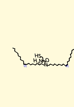 CCCCCCCC/C=C\CCCCCCCCN(CCCCCCCC/C=C\CCCCCCCC)C(=O)[C@@H](N)CS